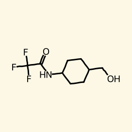 O=C(NC1CCC(CO)CC1)C(F)(F)F